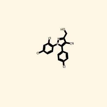 N#Cc1c(CO)nn(-c2ccc(Cl)cc2Cl)c1-c1ccc(Cl)cc1